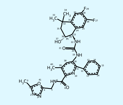 Cc1nnc(CNC(=O)c2nc(-c3ccccc3)c(NC(=O)N[C@@H]3c4cc(F)c(F)cc4C(C)(C)C[C@H]3O)cc2C)o1